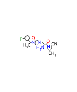 CC1CC(C#N)N(C(=O)C(N)CN2CC3CC2C(=O)N3C(C)c2cccc(F)c2)C1